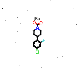 CC(C)(C)OC(=O)N1CCC(c2ccc(Cl)cc2F)CC1